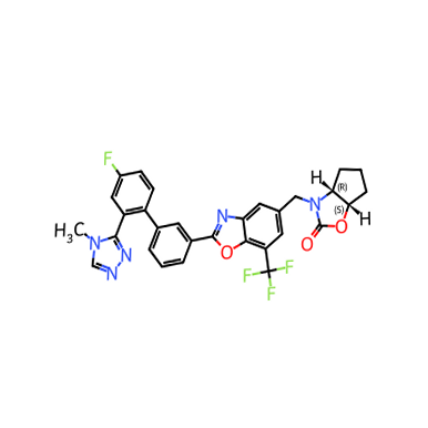 Cn1cnnc1-c1cc(F)ccc1-c1cccc(-c2nc3cc(CN4C(=O)O[C@H]5CCC[C@H]54)cc(C(F)(F)F)c3o2)c1